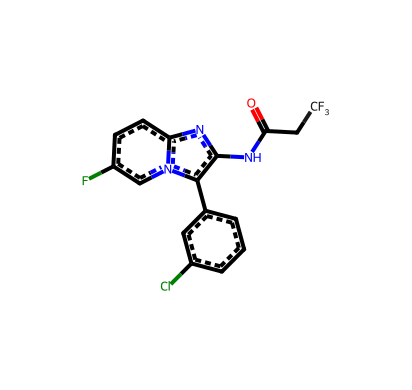 O=C(CC(F)(F)F)Nc1nc2ccc(F)cn2c1-c1cccc(Cl)c1